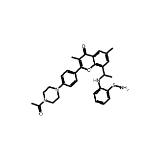 CC(=O)N1CCN(c2ccc(-c3oc4c(C(C)Nc5ccccc5SN)cc(C)cc4c(=O)c3C)cc2)CC1